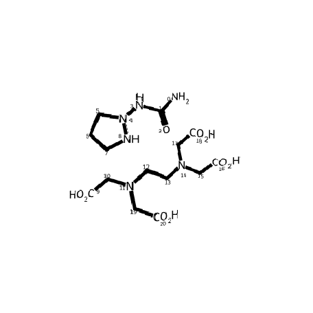 NC(=O)NN1CCCN1.O=C(O)CN(CCN(CC(=O)O)CC(=O)O)CC(=O)O